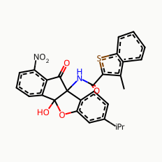 Cc1c(C(=O)NC23C(=O)c4c([N+](=O)[O-])cccc4C2(O)Oc2cc(C(C)C)ccc23)sc2ccccc12